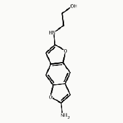 Nc1cc2cc3oc(NCCO)cc3cc2o1